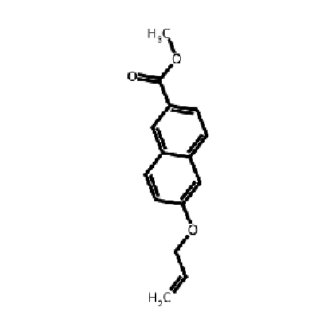 C=CCOc1ccc2cc(C(=O)OC)ccc2c1